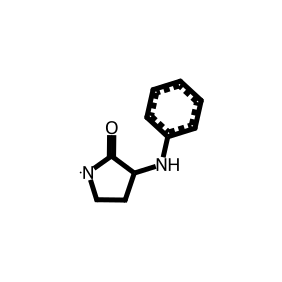 O=C1[N]CCC1Nc1ccccc1